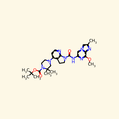 COc1nc(NC(=O)N2CCc3c(N4CCN(C(=O)OC(C)(C)C)C(C)(C)C4)ccnc32)cn2cc(C)nc12